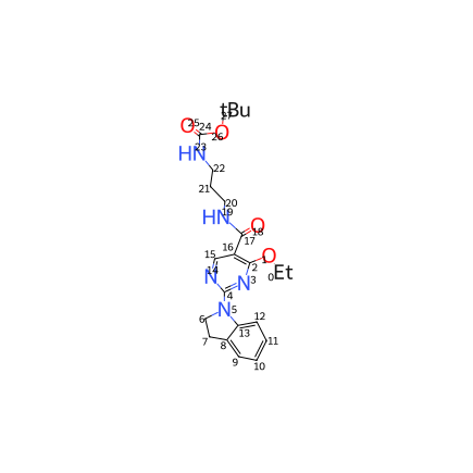 CCOc1nc(N2CCc3ccccc32)ncc1C(=O)NCCCNC(=O)OC(C)(C)C